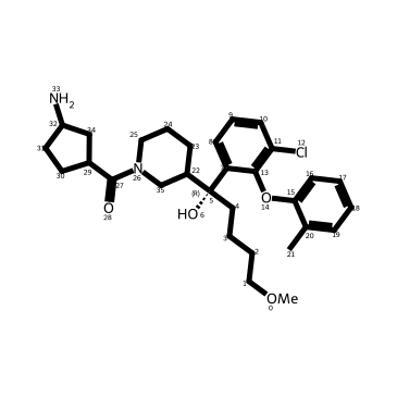 COCCCC[C@](O)(c1cccc(Cl)c1Oc1ccccc1C)C1CCCN(C(=O)C2CCC(N)C2)C1